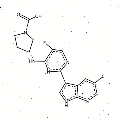 O=C(O)N1CC[C@@H](Nc2nc(-c3c[nH]c4ncc(Cl)cc34)ncc2F)C1